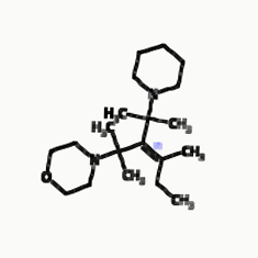 CC/C(C)=C(/C(C)(C)N1CCCCC1)C(C)(C)N1CCOCC1